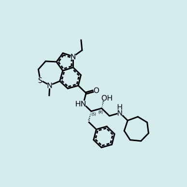 CCn1cc2c3c(cc(C(=O)N[C@@H](Cc4ccccc4)[C@H](O)CNC4CCCCCC4)cc31)N(C)SCC2